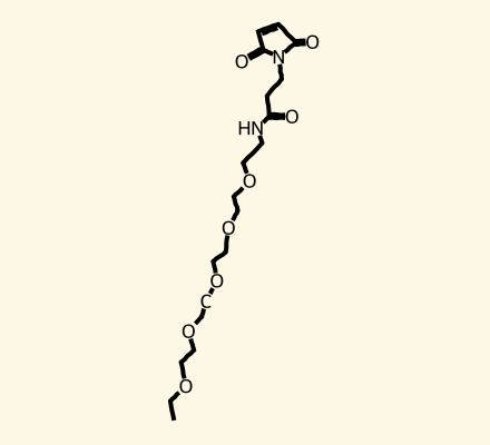 CCOCCOCCOCCOCCOCCNC(=O)CCN1C(=O)C=CC1=O